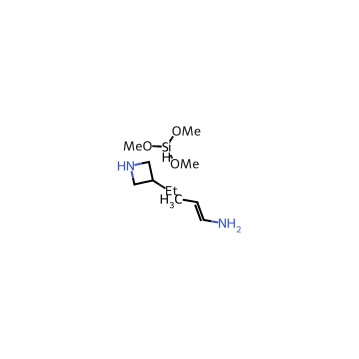 CC=CN.CCC1CNC1.CO[SiH](OC)OC